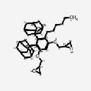 CCCCCCc1c(OCC2CO2)cc(OCC2CO2)c(C23CC4CC(CC(C4)C2)C3)c1C12CC3CC(CC(C3)C1)C2